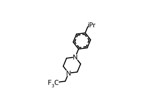 CC(C)c1ccc(N2CCN(CC(F)(F)F)CC2)cc1